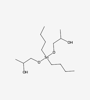 CCC[CH2][Sn]([CH2]CCC)([O]CC(C)O)[O]CC(C)O